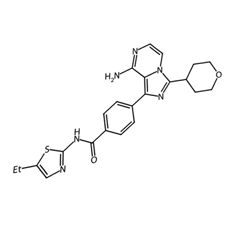 CCc1cnc(NC(=O)c2ccc(-c3nc(C4CCOCC4)n4ccnc(N)c34)cc2)s1